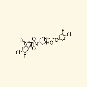 O=C(NC1CCN(CC(O)COc2ccc(Cl)c(F)c2)CC1)c1cn(C2CC2)c2cc(Cl)c(F)cc2c1=O